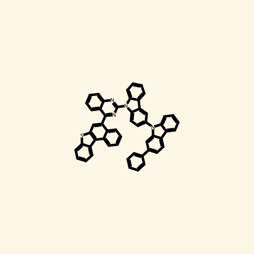 c1ccc(-c2ccc3c4ccccc4n(-c4ccc5c(c4)c4ccccc4n5-c4nc(-c5cc6sc7ccccc7c6c6ccccc56)c5ccccc5n4)c3c2)cc1